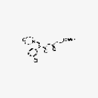 COCCC(=O)CC(=O)/C(=C/N1CCOCC1)c1cccc(Cl)c1